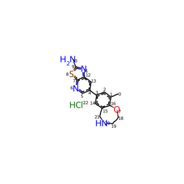 Cc1cc(-c2cnc3sc(N)nc3c2)cc2c1OCCNC2.Cl